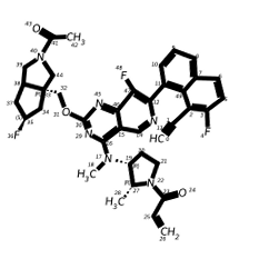 C#Cc1c(F)ccc2cccc(-c3ncc4c(N(C)[C@@H]5CCN(C(=O)C=C)[C@@H]5C)nc(OC[C@]56C[C@@H](F)CC5CN(C(C)=O)C6)nc4c3F)c12